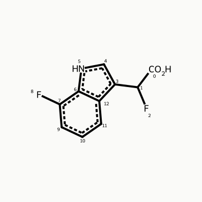 O=C(O)C(F)c1c[nH]c2c(F)cccc12